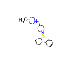 CC1CCN(CC2CCN(Sc3ccccc3-c3ccccc3)CC2)CC1